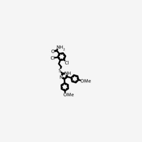 COc1ccc(-c2nc(SCCc3c(Cl)ccc(C(N)=O)c3Cl)[nH]c2-c2ccc(OC)cc2)cc1